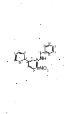 O=[N+]([O-])c1ccc(C2C=[C]C=CC2)cc1NCc1ccccc1